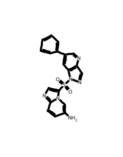 Nc1ccc2ncc(S(=O)(=O)n3ncc4ncc(-c5ccccc5)cc43)n2c1